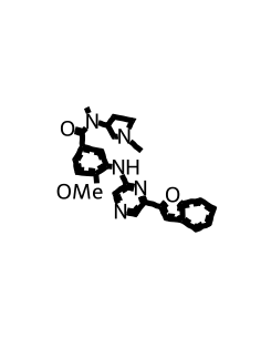 COc1ccc(C(=O)N(C)C2CCN(C)C2)cc1Nc1cncc(-c2cc3ccccc3o2)n1